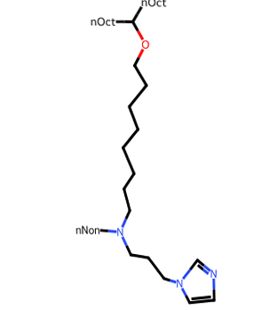 CCCCCCCCCN(CCCCCCCCOC(CCCCCCCC)CCCCCCCC)CCCn1ccnc1